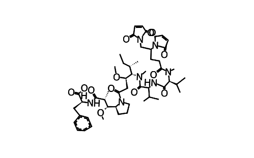 CC[C@H](C)[C@@H]([C@@H](CC(=O)N1CCC[C@H]1[C@H](OC)[C@@H](C)C(=O)N[C@@H](Cc1ccccc1)C(=O)O)OC)N(C)C(=O)[C@@H](NC(=O)[C@H](C(C)C)N(C)C(=O)CCC(CN1C(=O)C=CC1=O)N1C(=O)C=CC1=O)C(C)C